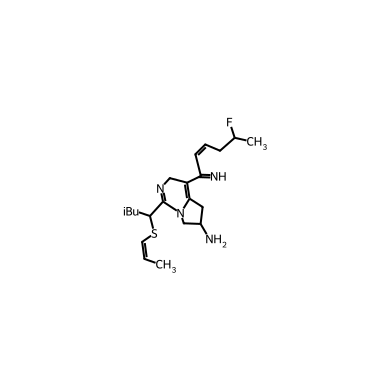 C/C=C\SC(C1=NCC(C(=N)/C=C\CC(C)F)=C2CC(N)CN12)C(C)CC